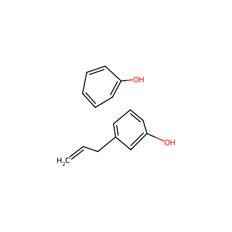 C=CCc1cccc(O)c1.Oc1ccccc1